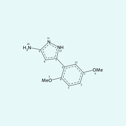 COc1ccc(OC)c(-c2cc(N)n[nH]2)c1